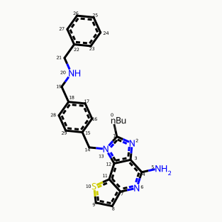 CCCCc1nc2c(N)nc3ccsc3c2n1Cc1ccc(CNCc2ccccc2)cc1